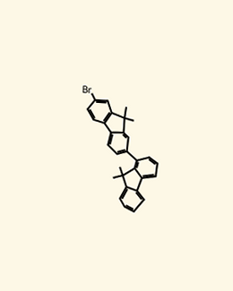 CC1(C)c2cc(Br)ccc2-c2ccc(-c3cccc4c3C(C)(C)c3ccccc3-4)cc21